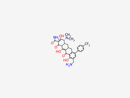 CN(C)[C@H]1C(O)=C(C(N)=O)C(=O)C2C(O)=C3C(=O)c4c(O)c(CN)cc(-c5ccc(C(F)(F)F)cc5)c4CC3CC21